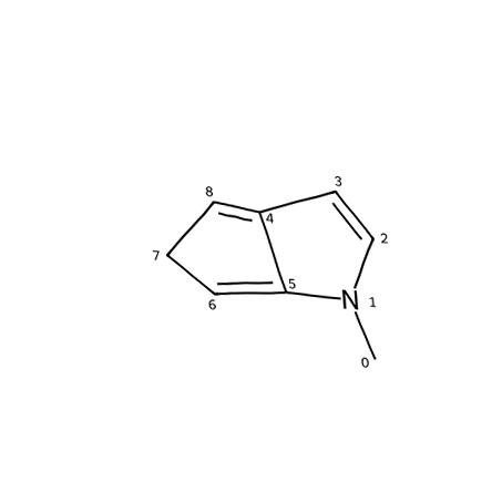 Cn1ccc2c1=CCC=2